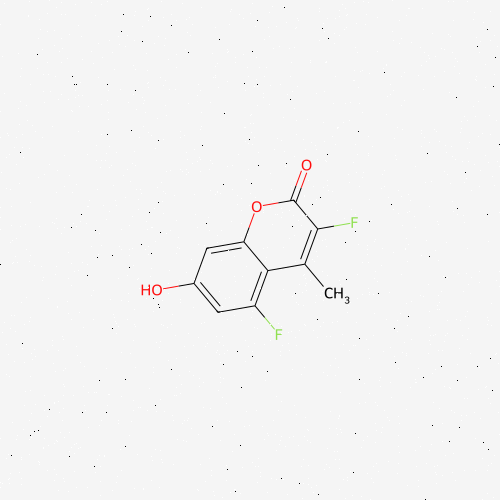 Cc1c(F)c(=O)oc2cc(O)cc(F)c12